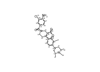 Cc1c(N2CC(C)N(C)C(C)C2)ccc2c3c(c(=O)oc12)CN(C(=O)c1ccc(N)c(Cl)c1)CC3